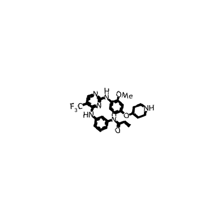 C=CC(=O)Nc1cccc(Nc2nc(Nc3ccc(OC4CCNCC4)cc3OC)ncc2C(F)(F)F)c1